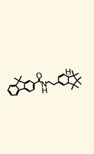 CC1(C)c2ccccc2-c2ccc(C(=O)NCCC3=CC4[C@@H](C=C3)C(C)(C)C(C)(C)C4(C)C)cc21